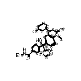 CCNC(=O)c1ccc(C(O)(c2ccc3c(c2)c(-c2cccc(Cl)c2)cc(=O)n3C)c2nncn2C)cc1